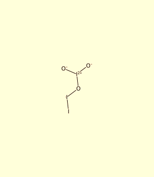 [O-][I+2]([O-])O[I]I